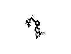 Cc1nc(N)c2nc(-c3cccc(C#C[C@](C)(O)c4nc(C(F)(F)F)cs4)c3)ccc2n1